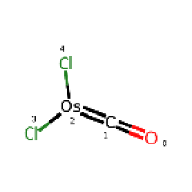 O=[C]=[Os]([Cl])[Cl]